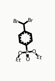 CCOP(=O)(OCC)c1ccc(C(Br)Br)cc1